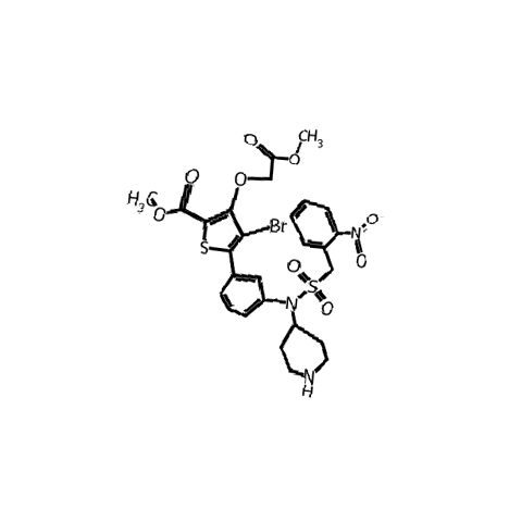 COC(=O)COc1c(C(=O)OC)sc(-c2cccc(N(C3CCNCC3)S(=O)(=O)Cc3ccccc3[N+](=O)[O-])c2)c1Br